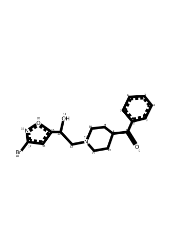 O=C(c1ccccc1)C1CCN(CC(O)c2cc(Br)no2)CC1